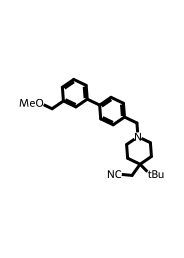 COCc1cccc(-c2ccc(CN3CCC(CC#N)(C(C)(C)C)CC3)cc2)c1